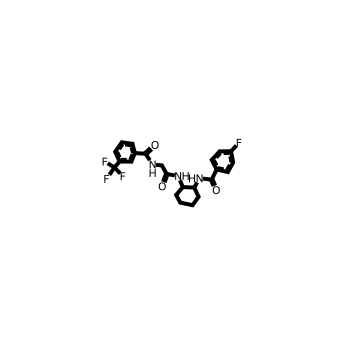 O=C(CNC(=O)c1cccc(C(F)(F)F)c1)NC1CCCCC1NC(=O)c1ccc(F)cc1